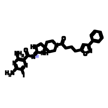 Nc1nc(N)c(C(=O)/N=C2\NCC3(CCN(C(=O)CCCc4cc(-c5ccccc5)no4)CC3)N2)nc1I